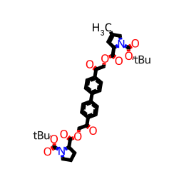 CC1=CC(C(=O)OCC(=O)c2ccc(-c3ccc(C(=O)COC(=O)C4CCCN4C(=O)OC(C)(C)C)cc3)cc2)N(C(=O)OC(C)(C)C)C1